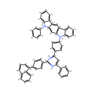 c1ccc(-c2cc(-c3ccc(-n4c5ccccc5c5cc6c7ccccc7n(-c7ccccc7)c6cc54)cc3)nc(-c3ccc(-c4cccc5ccccc45)cc3)n2)cc1